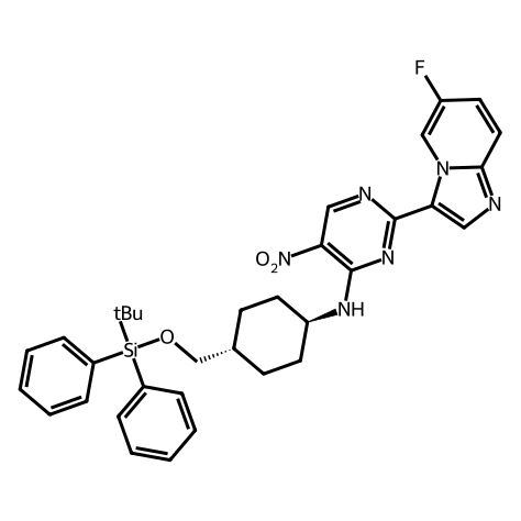 CC(C)(C)[Si](OC[C@H]1CC[C@H](Nc2nc(-c3cnc4ccc(F)cn34)ncc2[N+](=O)[O-])CC1)(c1ccccc1)c1ccccc1